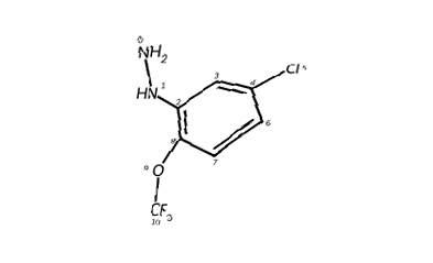 NNc1cc(Cl)ccc1OC(F)(F)F